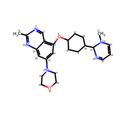 Cc1ncc2c(OC3CCC(C4N=CC=CN4C)CC3)cc(N3CCOCC3)cc2n1